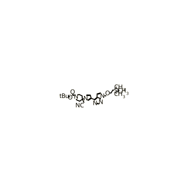 CC(C)(C)OC(=O)N1CCC(CC#N)(n2ccc(-c3ncnc4c3ccn4COCC[Si](C)(C)C)c2)CC1